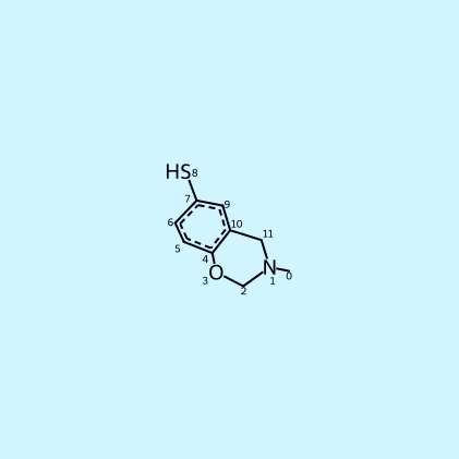 CN1COc2ccc(S)cc2C1